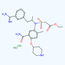 CCOC(=O)CS(=O)(=O)N(c1cc(C(N)=O)c(OC2CCNCC2)cc1C)C(C)Cc1cccc(C(=N)N)c1.Cl.Cl